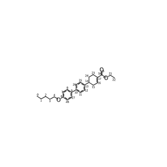 CCCCCOc1ccc(-c2ccc(C3CC=C(C(=O)OCC)CC3)cc2)cc1